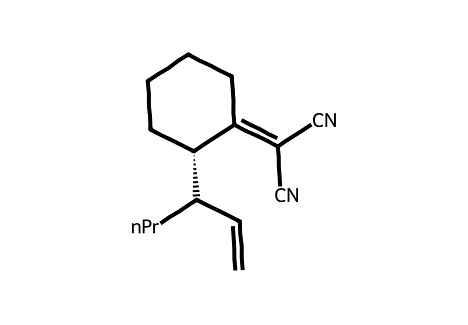 C=CC(CCC)[C@@H]1CCCCC1=C(C#N)C#N